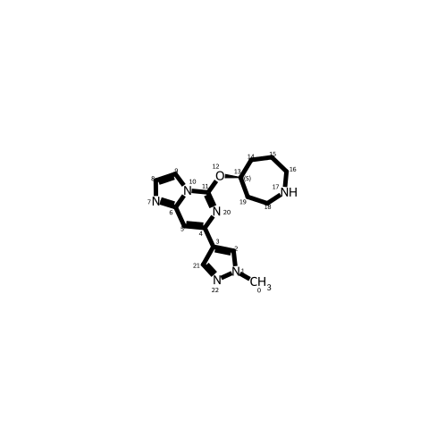 Cn1cc(-c2cc3nccn3c(O[C@H]3CCCNCC3)n2)cn1